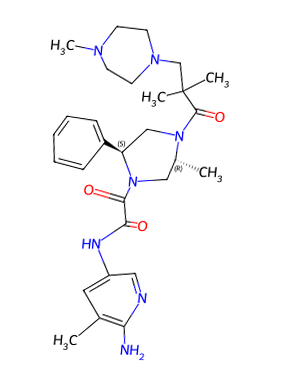 Cc1cc(NC(=O)C(=O)N2C[C@@H](C)N(C(=O)C(C)(C)CN3CCN(C)CC3)C[C@@H]2c2ccccc2)cnc1N